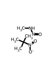 CC(C)(C)[N+](=O)[O-].CNN=O